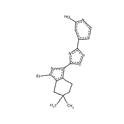 CCn1nc(-c2nc(-c3ccnc(O)c3)no2)c2c1CC(C)(C)CC2